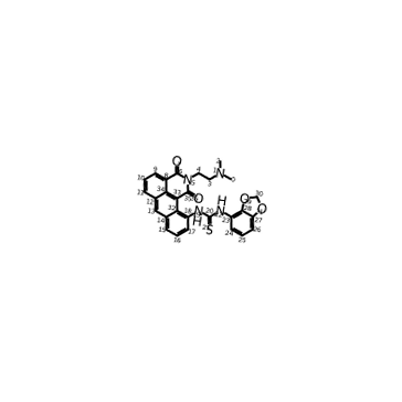 CN(C)CCN1C(=O)c2cccc3cc4cccc(NC(=S)Nc5cccc6c5OCO6)c4c(c23)C1=O